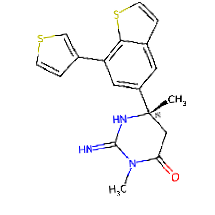 CN1C(=N)N[C@](C)(c2cc(-c3ccsc3)c3sccc3c2)CC1=O